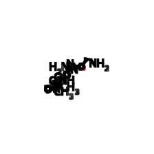 Cc1c(C(=O)Nc2ccc(-c3nc(-c4cccc(C5CC5CN)c4)cnc3N)cc2)c(=O)n(-c2ccccc2)n1C